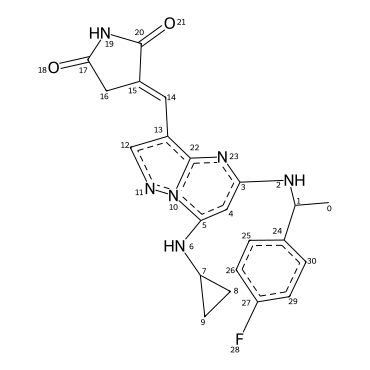 CC(Nc1cc(NC2CC2)n2ncc(/C=C3\CC(=O)NC3=O)c2n1)c1ccc(F)cc1